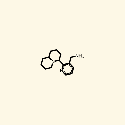 NCc1cccnc1C1CCCC2CCCCN21